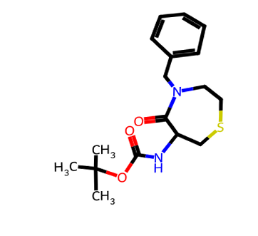 CC(C)(C)OC(=O)NC1CSCCN(Cc2ccccc2)C1=O